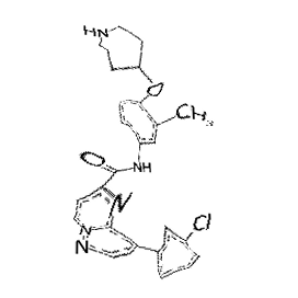 Cc1cc(NC(=O)c2ccn3ncc(-c4cccc(Cl)c4)c3n2)ccc1OC1CCNCC1